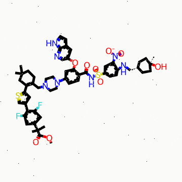 COC(=O)C(C)(C)c1cc(F)c(-c2csc(C3=C(CN4CCN(c5ccc(C(=O)NS(=O)(=O)c6ccc(NC[C@H]7CC[C@](C)(O)CC7)c([N+](=O)[O-])c6)c(Oc6cnc7[nH]ccc7c6)c5)CC4)CCC(C)(C)C3)c2)c(F)c1